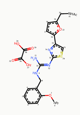 CCCOc1ccccc1CNC(N)=Nc1nc(-c2ccc(CNC(C)=O)o2)cs1.O=C(O)C(=O)O